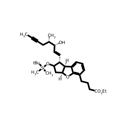 CC#CC[C@H](C)[C@H](O)/C=C/[C@H]1C(O[Si](C)(C)C(C)(C)C)C[C@@H]2Oc3c(CCCC(=O)OCC)cccc3[C@@H]21